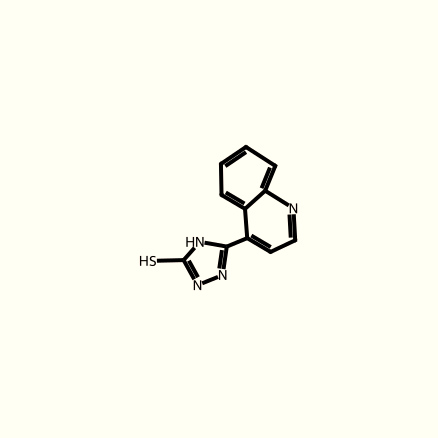 Sc1nnc(-c2ccnc3ccccc23)[nH]1